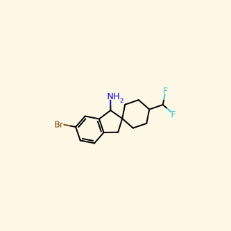 NC1c2cc(Br)ccc2CC12CCC(C(F)F)CC2